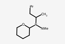 CNN(C(C)CC(C)C)C1CCCCO1